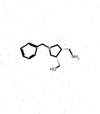 NC[C@H]1CN(Cc2ccccc2)C[C@H]1CO